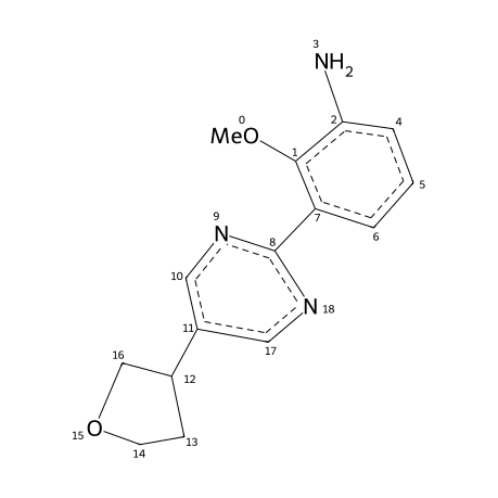 COc1c(N)cccc1-c1ncc(C2CCOC2)cn1